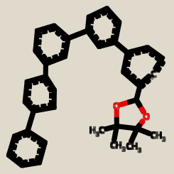 CC1(C)OC(c2cccc(-c3cccc(-c4cccc(-c5ccc(-c6ccccc6)cc5)c4)c3)c2)OC1(C)C